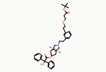 CC(C)(C)OC(=O)CCOCCc1cccc(CCN2C[C@H]3C[C@H](OC(=O)C(O)(c4ccccc4)c4ccccc4)C[C@H]3C2)c1